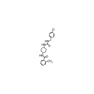 Cc1ccccc1C(=O)NC1CCC(NC(=O)NCc2ccc(Cl)cc2)CC1